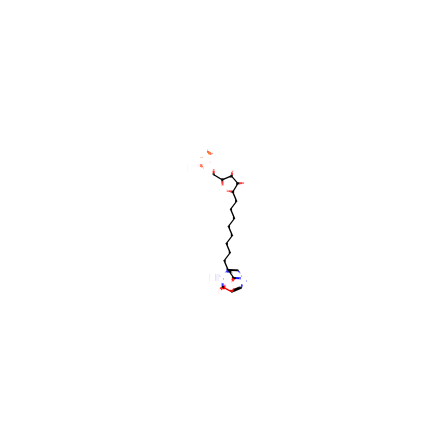 O=C1C=CN2CC(CCCCCCCCC3OC(COP(=O)(O)O)C(O)C3O)(N1)C2=O